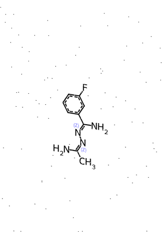 C/C(N)=N/N=C(\N)c1cccc(F)c1